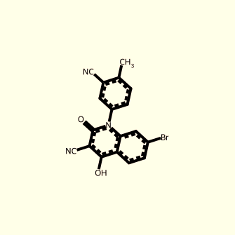 Cc1ccc(-n2c(=O)c(C#N)c(O)c3ccc(Br)cc32)cc1C#N